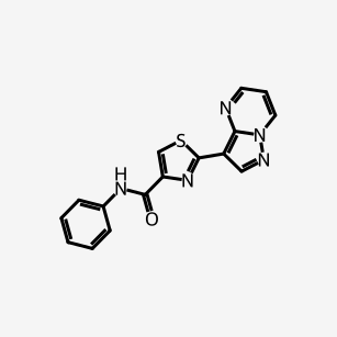 O=C(Nc1ccccc1)c1csc(-c2cnn3cccnc23)n1